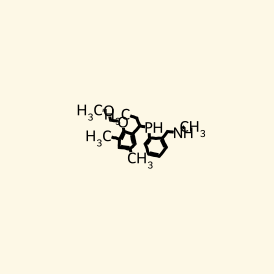 CCC(Pc1ccccc1CNC)c1cc(C)cc(C)c1OCOC